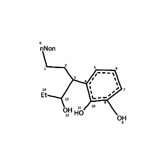 CCCCCCCCCCCC(c1cccc(O)c1O)C(O)CC